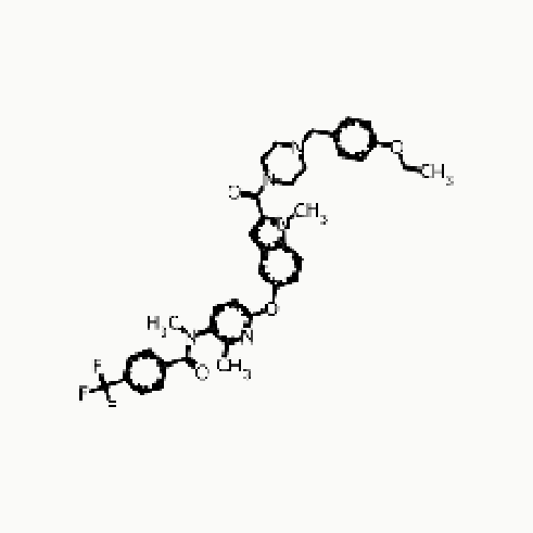 CCOc1ccc(CN2CCN(C(=O)c3cc4cc(Oc5ccc(N(C)C(=O)c6ccc(C(F)(F)F)cc6)c(C)n5)ccc4n3C)CC2)cc1